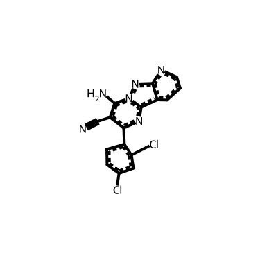 N#Cc1c(-c2ccc(Cl)cc2Cl)nc2c3cccnc3nn2c1N